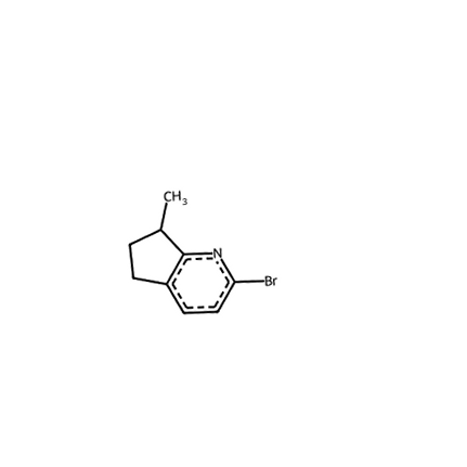 CC1CCc2ccc(Br)nc21